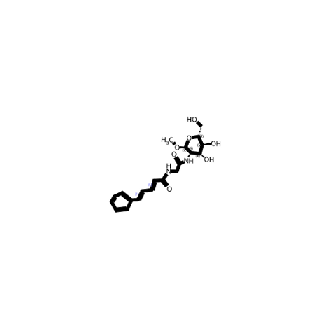 CO[C@H]1O[C@H](CO)[C@@H](O)[C@H](O)[C@@H]1NC(=O)CNC(=O)/C=C/C=C/c1ccccc1